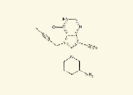 CC#CCn1c(N2CCCC(N)C2)c(C#N)c2nc[nH]c(=O)c21